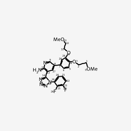 COCCOc1ccc(-c2cnc(N)c(-c3nnnn3-c3cccc(F)c3F)c2)cc1OCCOC